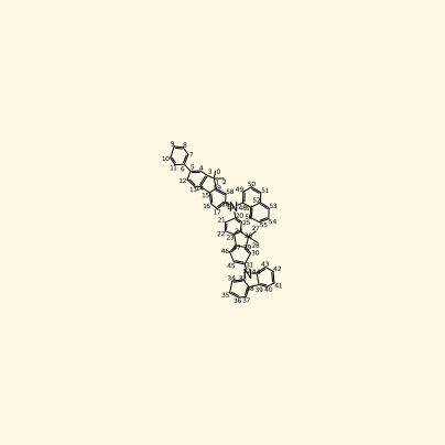 CC1(C)c2cc(-c3ccccc3)ccc2-c2ccc(N(c3ccc4c(c3)C(C)(C)c3cc(-n5c6ccccc6c6ccccc65)ccc3-4)c3cccc4ccccc34)cc21